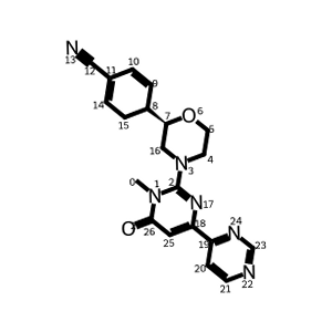 Cn1c(N2CCO[C@H](C3C=CC(C#N)=CC3)C2)nc(-c2ccncn2)cc1=O